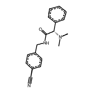 CN(C)[C@H](C(=O)NCc1ccc(C#N)cc1)c1ccccc1